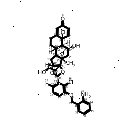 C[C@]12C=CC(=O)C=C1CC[C@@H]1[C@@H]2[C@@H](O)C[C@@]2(C)[C@H]1C[C@H]1O[C@H](c3c(F)ccc(OCc4ccccc4N)c3Cl)O[C@]12C(=O)CO